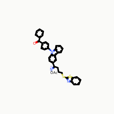 CC(=O)O/N=C(\CCCSc1nc2ccccc2s1)c1ccc2c(c1)c1ccccc1n2-c1ccc(C(=O)c2ccccc2)cc1